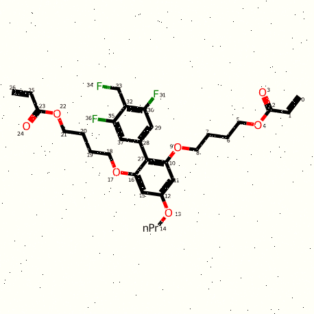 C=CC(=O)OCCCCOc1cc(OCCC)cc(OCCCCOC(=O)C=C)c1-c1cc(F)c(CF)c(F)c1